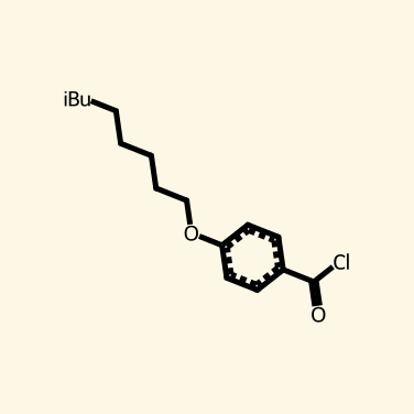 CCC(C)CCCCCOc1ccc(C(=O)Cl)cc1